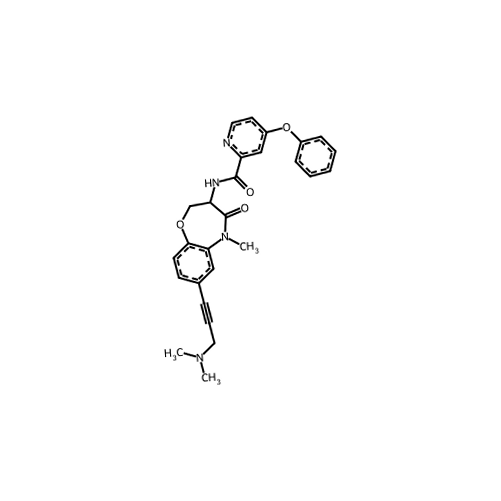 CN(C)CC#Cc1ccc2c(c1)N(C)C(=O)C(NC(=O)c1cc(Oc3ccccc3)ccn1)CO2